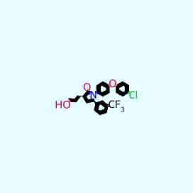 O=C1[C@@H](CCCO)C[C@H](c2cccc(C(F)(F)F)c2)N1c1ccc(Oc2ccc(Cl)cc2)cc1